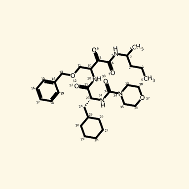 CCCC(C)NC(=O)C(=O)C(COCc1ccccc1)NC(=O)[C@@H](CC1CCCCC1)NC(=O)N1CCOCC1